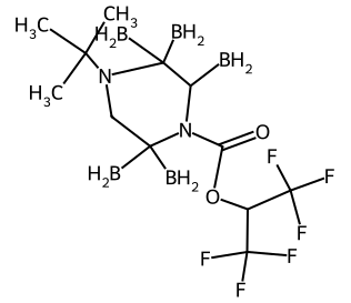 BC1N(C(=O)OC(C(F)(F)F)C(F)(F)F)C(B)(B)CN(C(C)(C)C)C1(B)B